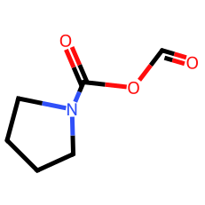 O=COC(=O)N1CCCC1